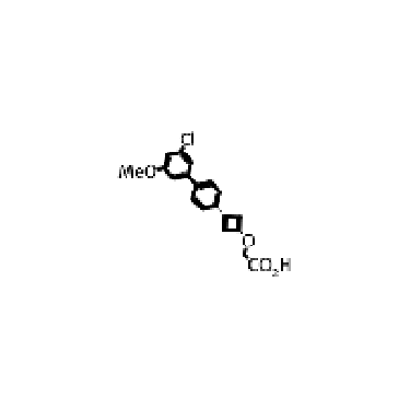 COc1cc(Cl)cc(-c2ccc([C@H]3C[C@@H](OCC(=O)O)C3)cc2)c1